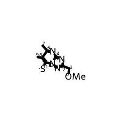 COCc1nc2nc(C)c(C)c([S])n2n1